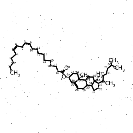 CCCCC/C=C\C/C=C\CCCCCCCCCC(=O)O[C@H]1CC[C@@]2(C)C(=CCC3C4CCC([C@H](C)CCCC(C)C)[C@@]4(C)CCC32)C1